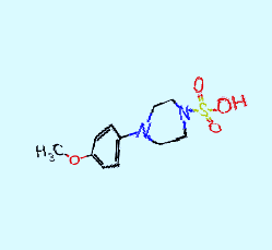 COc1ccc(N2CCN(S(=O)(=O)O)CC2)cc1